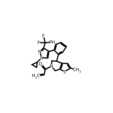 C=CC(=O)N1Cc2sc(C)cc2C(c2ccccc2-c2cn(C3CC3)nc2C(F)(F)P)C1